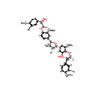 COc1ccc([C@@H](O)[C@@H](C)Oc2ccc(C3O[C@H](c4ccc(O[C@H](C)[C@@H](O)c5ccc(OC)c(C)c5)c(OC)c4)[C@H](C)[C@H]3C)cc2OC)cc1C